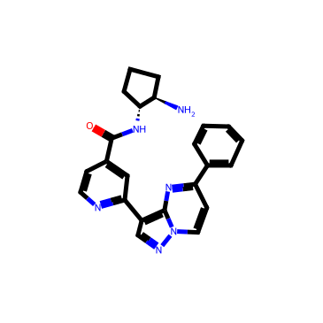 N[C@@H]1CCC[C@H]1NC(=O)c1ccnc(-c2cnn3ccc(-c4ccccc4)nc23)c1